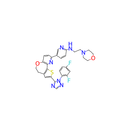 Fc1ccc(-n2ncnc2-c2cc3c(s2)-c2nc(-c4ccc(NCCN5CCOCC5)nc4)ccc2OCC3)c(F)c1